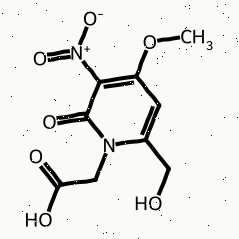 COc1cc(CO)n(CC(=O)O)c(=O)c1[N+](=O)[O-]